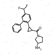 NC1CCN(C(=O)C2CC2c2ccc(C(F)F)cc2-c2ccccc2)C1